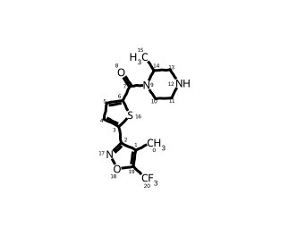 Cc1c(-c2ccc(C(=O)N3CCNCC3C)s2)noc1C(F)(F)F